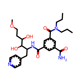 CCCN(CCC)C(=O)c1cc(C(N)=O)cc(C(=O)NC(Cc2ccncc2)C(O)C(O)CCOC)c1